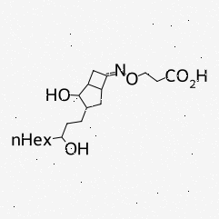 CCCCCCC(O)CCC1CC2C(=NOCCC(=O)O)CC2C1O